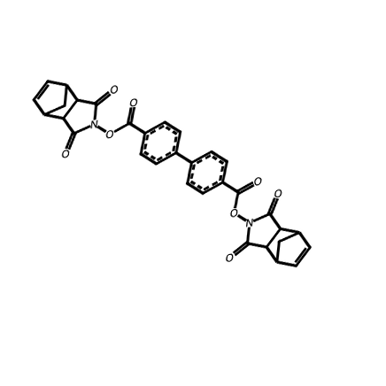 O=C(ON1C(=O)C2C3C=CC(C3)C2C1=O)c1ccc(-c2ccc(C(=O)ON3C(=O)C4C5C=CC(C5)C4C3=O)cc2)cc1